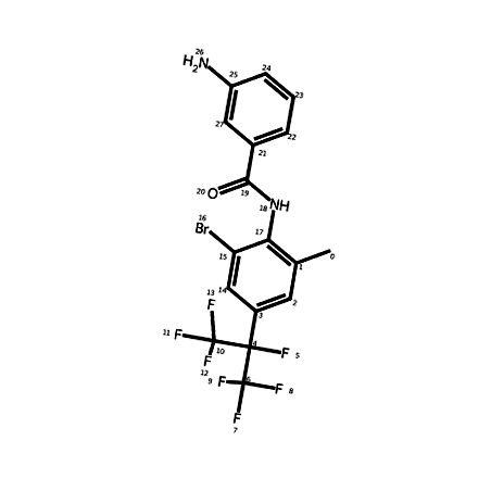 Cc1cc(C(F)(C(F)(F)F)C(F)(F)F)cc(Br)c1NC(=O)c1cccc(N)c1